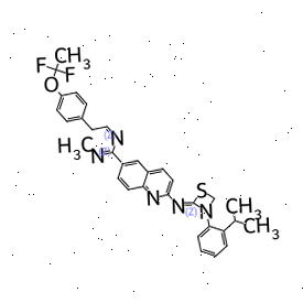 C/N=C(\N=C/Cc1ccc(OC(C)(F)F)cc1)c1ccc2nc(/N=C3\SCN3c3ccccc3C(C)C)ccc2c1